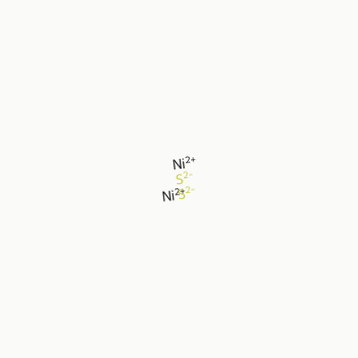 [Ni+2].[Ni+2].[S-2].[S-2]